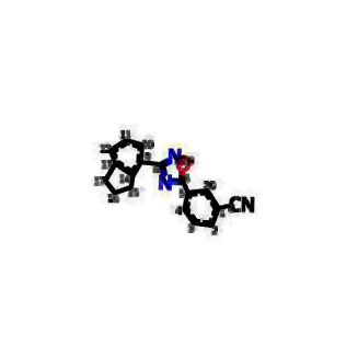 N#Cc1cccc(-c2nc(-c3cccc4c3CCC4)no2)c1